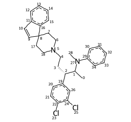 CC([C@@H](CCN1CCC2(C=Cc3ccccc32)CC1)c1ccc(Cl)c(Cl)c1)N(C)c1ccccc1